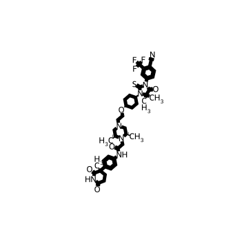 C[C@@H]1CN(CCO[C@H]2CC[C@H](N3C(=S)N(c4ccc(C#N)c(C(F)(F)F)c4)C(=O)C3(C)C)CC2)C[C@H](C)N1CC(=O)Nc1ccc([C@@]2(C)CCC(=O)NC2=O)cc1